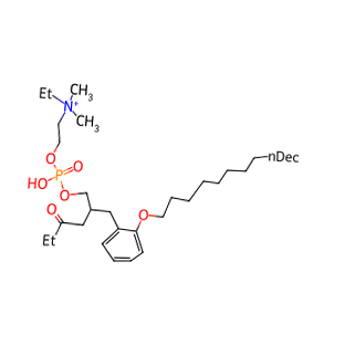 CCCCCCCCCCCCCCCCCCOc1ccccc1CC(COP(=O)(O)OCC[N+](C)(C)CC)CC(=O)CC